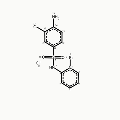 CC[n+]1ccccc1NS(=O)(=O)c1ccc(N)c(Cl)c1.[Cl-]